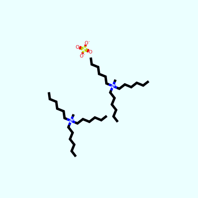 CCCCCC[N+](C)(CCCCCC)CCCCCC.CCCCCC[N+](C)(CCCCCC)CCCCCC.O=S(=O)([O-])[O-]